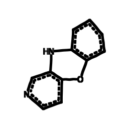 c1ccc2c(c1)Nc1cnccc1O2